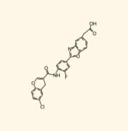 O=C(O)Cc1ccc2oc(-c3ccc(NC(=O)C4=COc5ccc(Cl)cc5C4)c(F)c3)nc2c1